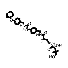 CC(C)(CO)[C@@H](O)C(=O)NCCC(=O)C(=O)NCc1ccc(NC(=O)NCc2ccc(Oc3ccccc3)cc2)cc1